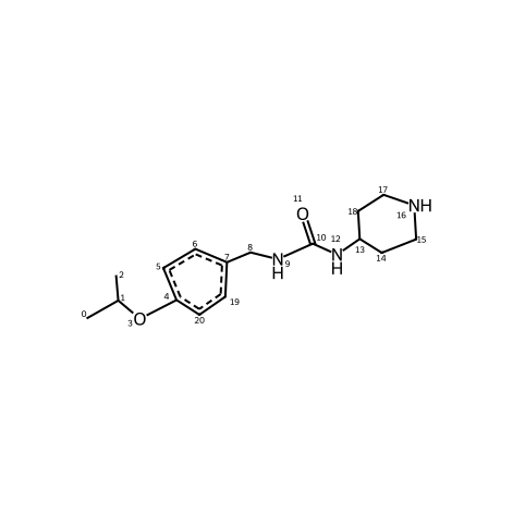 CC(C)Oc1ccc(CNC(=O)NC2CCNCC2)cc1